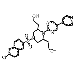 O=S(=O)(c1ccc2cc(Cl)ccc2c1)N1CC(CCO)N(c2ncc(-c3ccncc3)cn2)C(CCO)C1